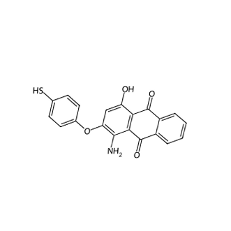 Nc1c(Oc2ccc(S)cc2)cc(O)c2c1C(=O)c1ccccc1C2=O